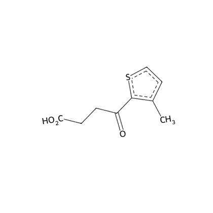 Cc1ccsc1C(=O)CCC(=O)O